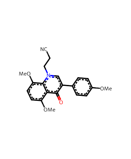 COc1ccc(-c2cn(CCC#N)c3c(OC)ccc(OC)c3c2=O)cc1